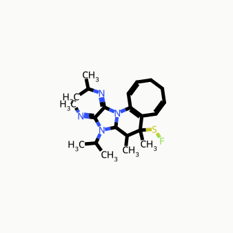 C/N=C1\C(=N/C(C)C)N2C3=C(/C=C\CC/C=C\3)C(C)(SF)C(C)C2N1C(C)C